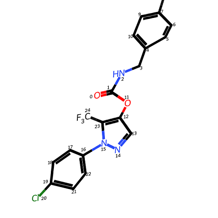 O=C(NCc1ccc(C(F)(F)F)cc1)Oc1cnn(-c2ccc(Cl)cc2)c1C(F)(F)F